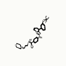 O=C(NCCCN1CCOCC1)c1ccc(Nc2nc3c(-c4cccc(OC(F)(F)F)c4)cccn3n2)cc1